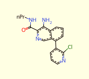 CCCNC(=O)c1ncc2c(-c3cccnc3Cl)cccc2c1N